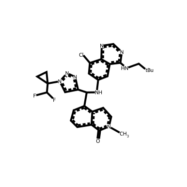 Cn1ccc2c(C(Nc3cc(Cl)c4ncnc(NCC(C)(C)C)c4c3)c3cn(C4(C(F)F)CC4)nn3)cccc2c1=O